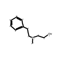 CN(CCO)CCc1ccccc1